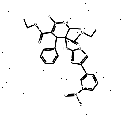 CCOC(=O)C1=C(C)NC(C)C(Nc2nc(-c3cccc([N+](=O)[O-])c3)cs2)(C(=O)OCC)C1c1ccccc1